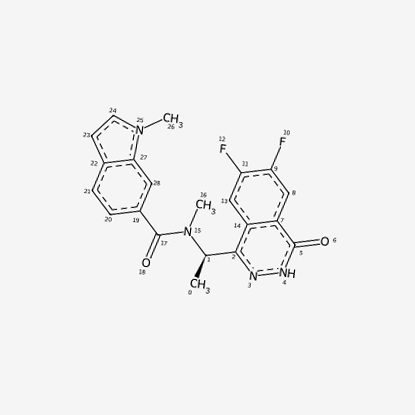 C[C@H](c1n[nH]c(=O)c2cc(F)c(F)cc12)N(C)C(=O)c1ccc2ccn(C)c2c1